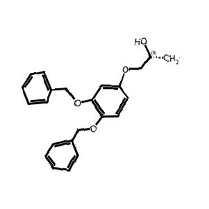 [CH2][C@@H](O)COc1ccc(OCc2ccccc2)c(OCc2ccccc2)c1